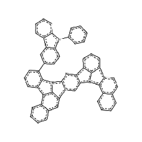 c1ccc(-n2c3ccccc3c3cc(-c4cccc5c6c7ccccc7cc7c8cc9c(nc8n(c45)c76)c4cccc5c6ccc7ccccc7c6n9c54)ccc32)cc1